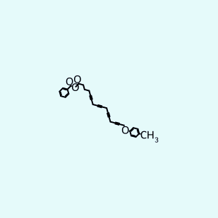 Cc1ccc(OCC#CCC#CCC#CCC#CCCCC(=O)OC(=O)c2ccccc2)cc1